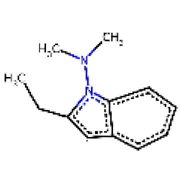 CCc1[c]c2ccccc2n1N(C)C